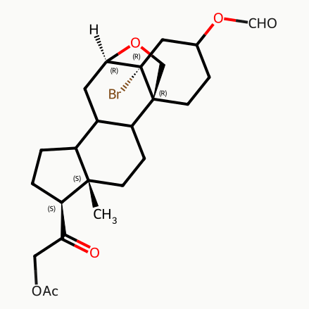 CC(=O)OCC(=O)[C@H]1CCC2C3C[C@H]4OC[C@@]5(CCC(OC=O)C[C@]45Br)C3CC[C@@]21C